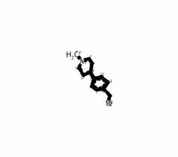 CN1CCC(c2ccc(CBr)cc2)CC1